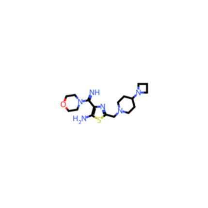 N=C(c1nc(CN2CCC(N3CCC3)CC2)sc1N)N1CCOCC1